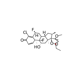 CCC(=O)O[C@]1(C(=S)OC)[C@H](C)C[C@H]2[C@@H]3C[C@H](F)C4=C(Cl)C(=O)C=C[C@]4(C)[C@@]3(F)[C@@H](O)C[C@@]21C